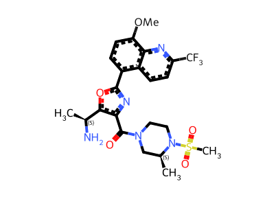 COc1ccc(-c2nc(C(=O)N3CCN(S(C)(=O)=O)[C@@H](C)C3)c([C@H](C)N)o2)c2ccc(C(F)(F)F)nc12